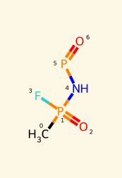 CP(=O)(F)NP=O